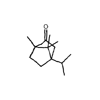 CC(C)C12CCC(C)(C(=O)C1)C2(C)C